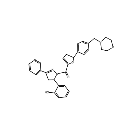 O=C(C1=CCC(c2ccc(CN3CCOCC3)cc2)S1)N1N=C(c2cccnc2)CC1c1ccccc1O